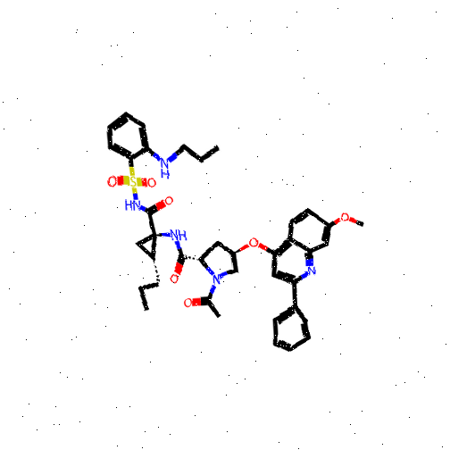 CCCNc1ccccc1S(=O)(=O)NC(=O)[C@@]1(NC(=O)[C@@H]2C[C@@H](Oc3cc(-c4ccccc4)nc4cc(OC)ccc34)CN2C(C)=O)C[C@H]1CCC